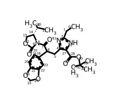 CCc1nc(CC(C(=O)N2C(=O)OC[C@@H]2C(C)C)c2ccc3c(c2)OCO3)c(C(=O)OC(C)(C)C)[nH]1